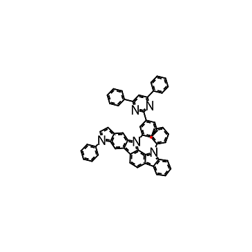 c1ccc(-c2cc(-c3ccccc3)nc(-c3cccc(-n4c5cc6ccn(-c7ccccc7)c6cc5c5ccc6c7ccccc7n(-c7ccccc7)c6c54)c3)n2)cc1